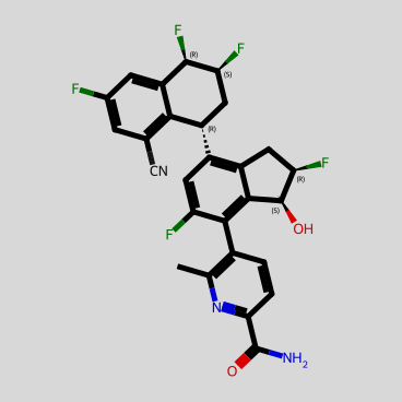 Cc1nc(C(N)=O)ccc1-c1c(F)cc([C@H]2C[C@H](F)[C@H](F)c3cc(F)cc(C#N)c32)c2c1[C@H](O)[C@H](F)C2